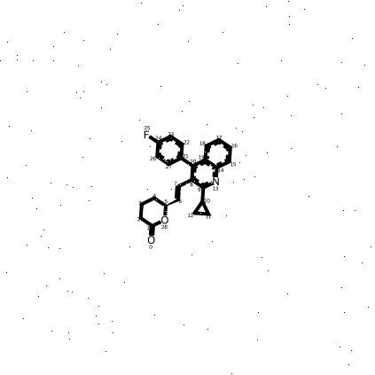 O=C1CCC[C@@H](/C=C/c2c(C3CC3)nc3ccccc3c2-c2ccc(F)cc2)O1